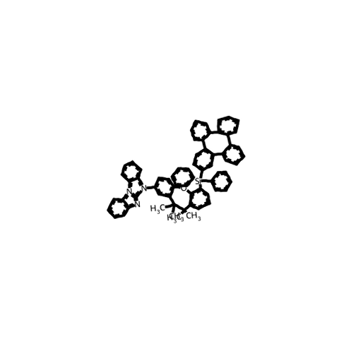 CC1(C)c2cc(-n3c4ccccc4n4c5ccccc5nc34)ccc2Oc2c(cccc2[Si](c2ccccc2)(c2ccccc2)c2ccc3c(c2)-c2ccccc2-c2ccccc2-c2ccccc2-3)C1(C)C